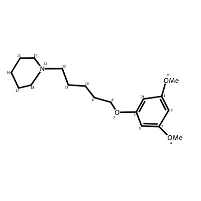 COc1cc(OC)cc(OCCCCCN2CC[CH]CC2)c1